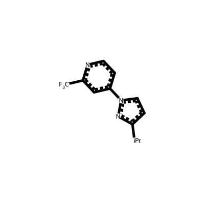 CC(C)c1ccn(-c2ccnc(C(F)(F)F)c2)n1